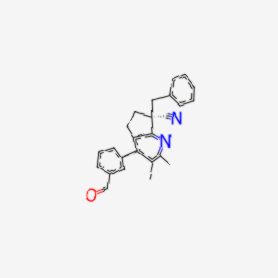 Cc1nc2c(c(-c3cccc(C=O)c3)c1C)CC[C@@]2(C#N)Cc1ccccc1